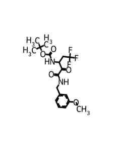 COc1cccc(CNC(=O)C(=O)C(CC(F)(F)F)NC(=O)OC(C)(C)C)c1